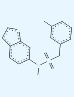 O=[C]N(c1ccc2cc[nH]c2c1)S(=O)(=O)Cc1cccc(O)c1